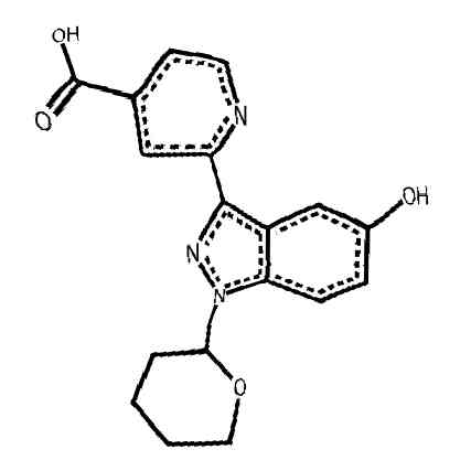 O=C(O)c1ccnc(-c2nn(C3CCCCO3)c3ccc(O)cc23)c1